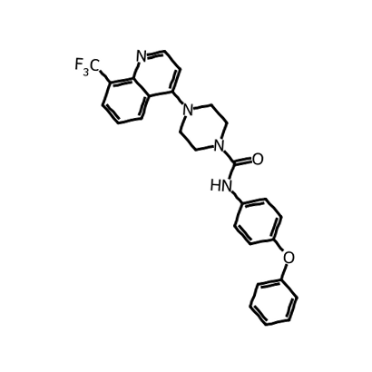 O=C(Nc1ccc(Oc2ccccc2)cc1)N1CCN(c2ccnc3c(C(F)(F)F)cccc23)CC1